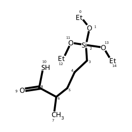 CCO[Si](CCCC(C)C(=O)S)(OCC)OCC